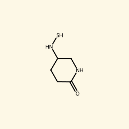 O=C1CCC(NS)CN1